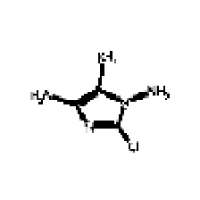 Nc1nc(Cl)n(N)c1N